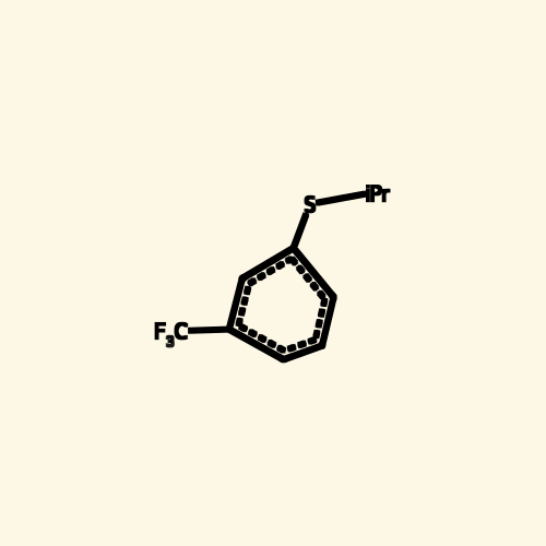 CC(C)Sc1cccc(C(F)(F)F)c1